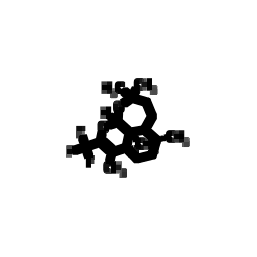 CC1=C(C(F)(F)F)O[C@@H]2OC(C)(C)CCC3[C@H](C)CC[C@@H]1[C@]32C